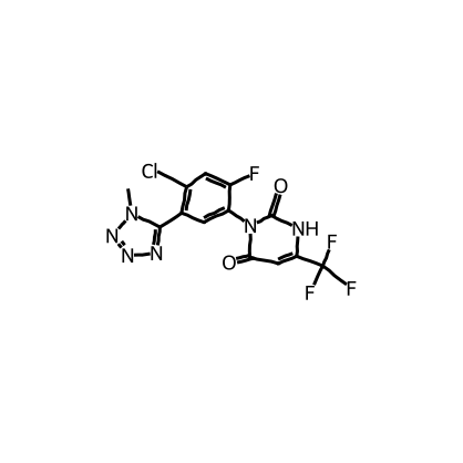 Cn1nnnc1-c1cc(-n2c(=O)cc(C(F)(F)F)[nH]c2=O)c(F)cc1Cl